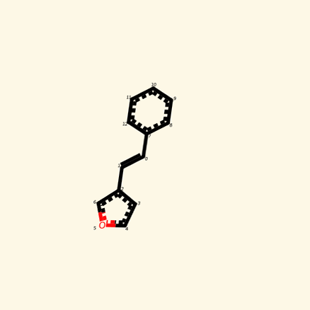 C(=Cc1ccoc1)c1ccccc1